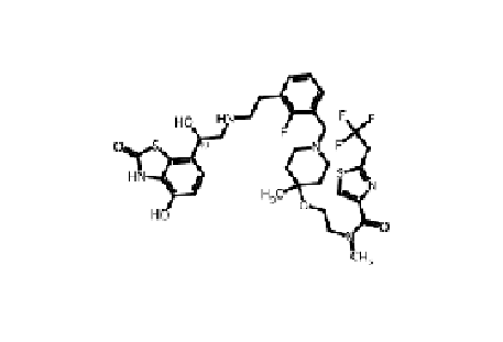 CN(CCOC1(C)CCN(Cc2cccc(CCNC[C@H](O)c3ccc(O)c4[nH]c(=O)sc34)c2F)CC1)C(=O)c1csc(CC(F)(F)F)n1